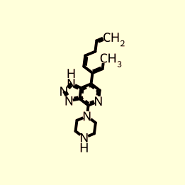 C=CC/C=C\C(=C/C)c1cnc(N2CCNCC2)c2nn[nH]c12